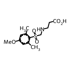 COc1cc(C)c(S(=O)(=O)CNCCC(=O)O)c(C)c1